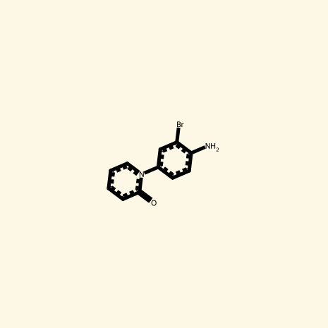 Nc1ccc(-n2ccccc2=O)cc1Br